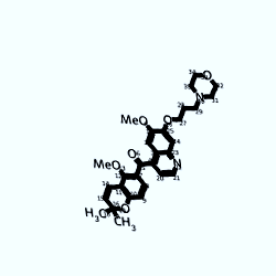 COc1cc2c(C(=O)c3ccc4c(c3OC)C=CC(C)(C)O4)ccnc2cc1OCCCN1CCOCC1